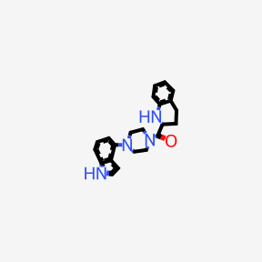 O=C(C1CCc2ccccc2N1)N1CCN(c2cccc3[nH]ccc23)CC1